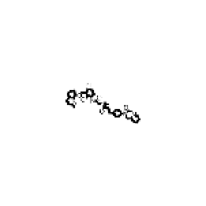 CC(=O)N(Cc1ccccn1)c1ccc(C=CC(=O)NCC(=O)N(C)c2ccc(Cl)c(COc3cccc4ccc(C)nc34)c2Cl)cc1